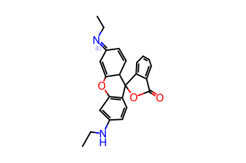 CC/N=C1\C=CC2C(=C1)Oc1cc(NCC)ccc1C21OC(=O)c2ccccc21